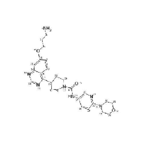 NCCCOc1ccc2c(C3CCN(C(=O)Nc4ccc(N5CCOCC5)nc4)CC3)ncnc2c1